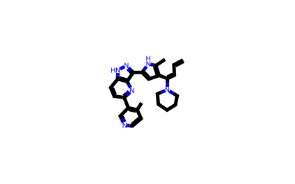 C=C/C=C(\c1cc(-c2n[nH]c3ccc(-c4cnccc4C)nc23)[nH]c1C)N1CCCCC1